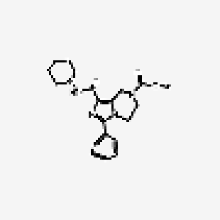 COC(=O)N1CCn2c(-c3ccccc3)nc(C(=O)NN3CCCCC3)c2C1